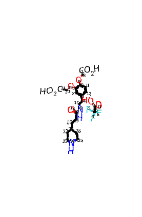 O=C(O)C(F)(F)F.O=C(O)COc1ccc(CCNC(=O)CCC2CCNCC2)cc1OCC(=O)O